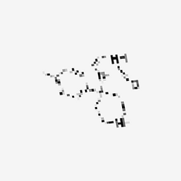 Cc1ccc(C2(n3cc[nH]c3=O)CCNCC2)cc1